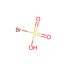 O=S(=O)(O)Br